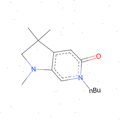 CCCCn1cc2c(cc1=O)C(C)(C)CN2C